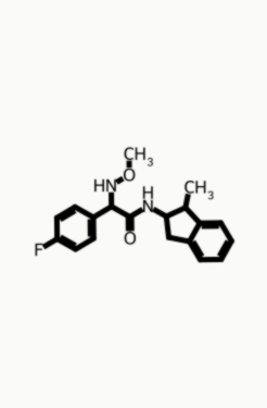 CONC(C(=O)NC1Cc2ccccc2C1C)c1ccc(F)cc1